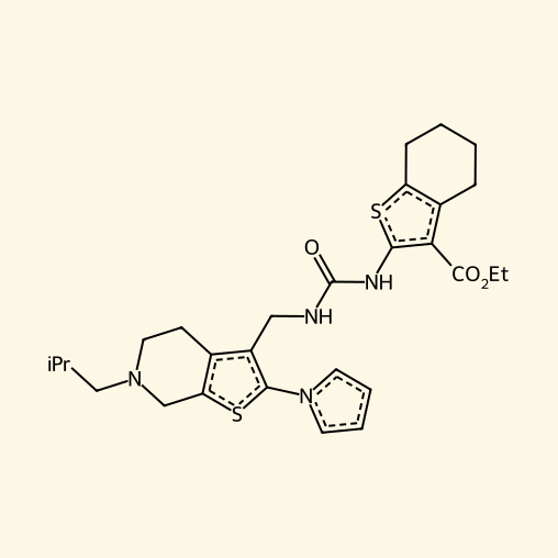 CCOC(=O)c1c(NC(=O)NCc2c(-n3cccc3)sc3c2CCN(CC(C)C)C3)sc2c1CCCC2